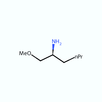 CCCC[C@H](N)COC